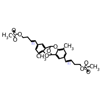 Cc1cc(/C=C/CCOS(C)(=O)=O)cc2c1OC1OC2Oc2c(C)cc(/C=C/CCOS(C)(=O)=O)cc21